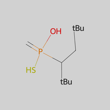 C=P(O)(S)C(CC(C)(C)C)C(C)(C)C